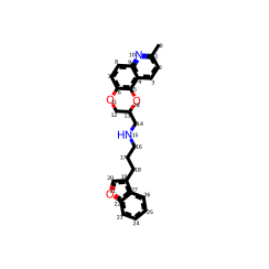 Cc1ccc2c3c(ccc2n1)OCC(CNCCCc1coc2ccccc12)O3